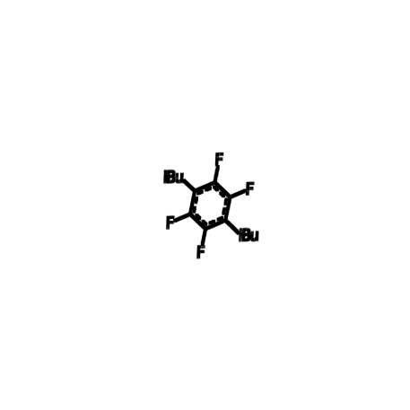 CCC(C)c1c(F)c(F)c(C(C)CC)c(F)c1F